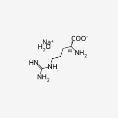 N=C(N)NCCC[C@H](N)C(=O)[O-].O.[Na+]